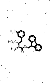 Cc1cccc(C[C@@H](C(=O)O)N(C)C(=O)OCC2c3ccccc3-c3ccccc32)c1